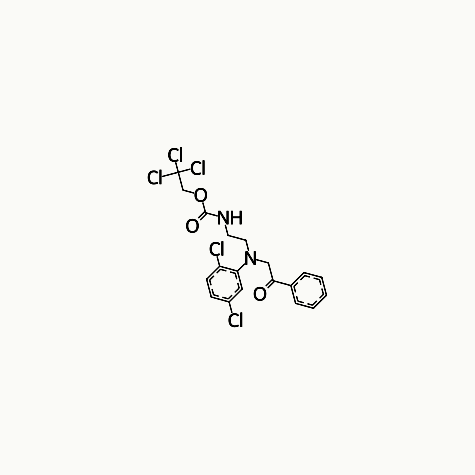 O=C(NCCN(CC(=O)c1ccccc1)c1cc(Cl)ccc1Cl)OCC(Cl)(Cl)Cl